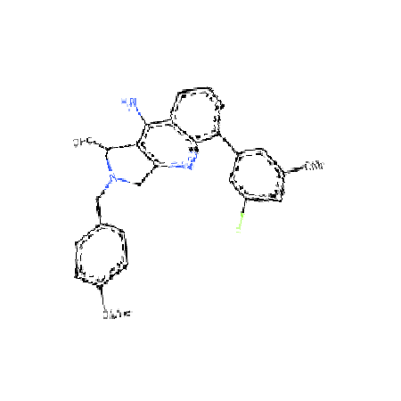 COc1ccc(CN2Cc3nc4c(-c5cc(F)cc(OC)c5)cccc4c(N)c3C2C=O)cc1